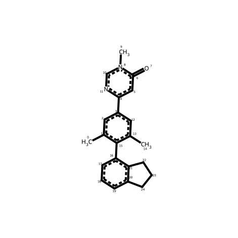 Cc1cc(-c2cc(=O)n(C)cn2)cc(C)c1-c1cccc2c1CCC2